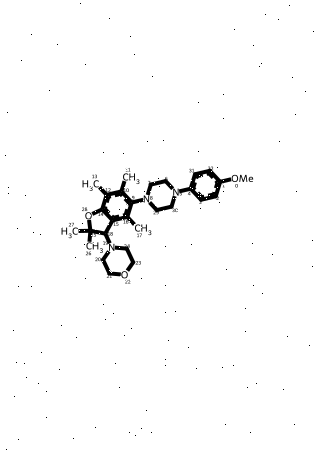 COc1ccc(N2CCN(c3c(C)c(C)c4c(c3C)C(N3CCOCC3)C(C)(C)O4)CC2)cc1